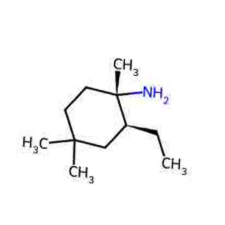 CC[C@H]1CC(C)(C)CC[C@]1(C)N